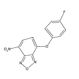 O=[N+]([O-])c1ccc(Oc2ccc(F)cc2)c2nonc12